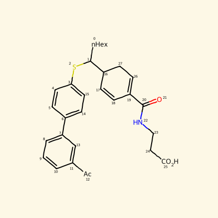 CCCCCCC(Sc1ccc(-c2cccc(C(C)=O)c2)cc1)C1C=CC(C(=O)NCCC(=O)O)=CC1